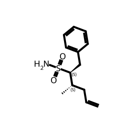 C=CC[C@H](C)[C@H](Cc1ccccc1)S(N)(=O)=O